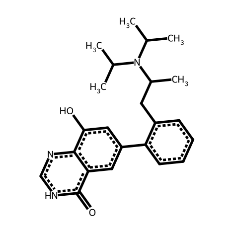 CC(C)N(C(C)C)C(C)Cc1ccccc1-c1cc(O)c2nc[nH]c(=O)c2c1